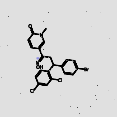 Cn1cc(/C(CC(c2ccc(Br)cc2)c2ccc(Cl)cc2Cl)=N/O)ccc1=O